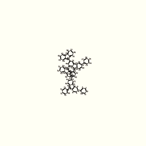 c1ccc(-c2ccc3c(c2)c2cc(-c4ccc(-n5c6ccc(-c7ccccc7)cc6c6cc(-n7c8ccccc8c8ccccc87)cc(-n7c8ccccc8c8ccccc87)c65)cc4)ccc2n3-c2ccccc2)cc1